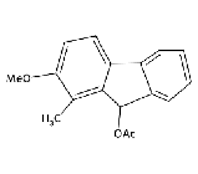 COc1ccc2c(c1C)C(OC(C)=O)c1ccccc1-2